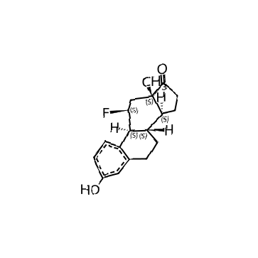 C[C@]12C[C@H](F)[C@@H]3c4ccc(O)cc4CC[C@H]3[C@@H]1CCC2=O